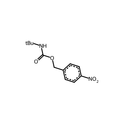 CC(C)(C)NC(=O)OCc1ccc([N+](=O)[O-])cc1